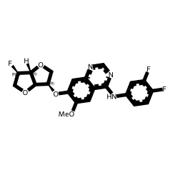 COc1cc2c(Nc3ccc(F)c(F)c3)ncnc2cc1O[C@@H]1CO[C@@H]2C1OC[C@H]2F